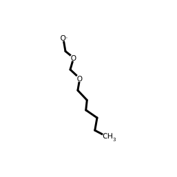 CCCCCCOCOC[O]